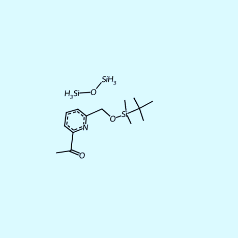 CC(=O)c1cccc(CO[Si](C)(C)C(C)(C)C)n1.[SiH3]O[SiH3]